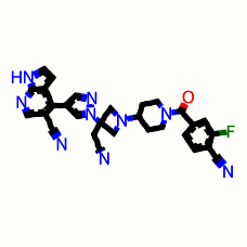 N#CCC1(n2cc(-c3c(C#N)cnc4[nH]ccc34)cn2)CN(C2CCN(C(=O)c3ccc(C#N)c(F)c3)CC2)C1